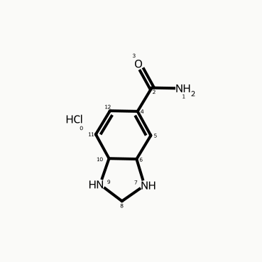 Cl.NC(=O)C1=CC2NCNC2C=C1